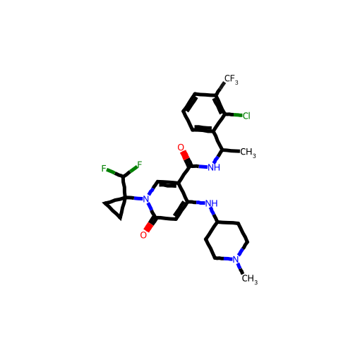 CC(NC(=O)c1cn(C2(C(F)F)CC2)c(=O)cc1NC1CCN(C)CC1)c1cccc(C(F)(F)F)c1Cl